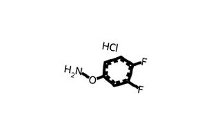 Cl.NOc1ccc(F)c(F)c1